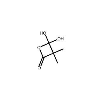 CC1(C)C(=O)OC1(O)O